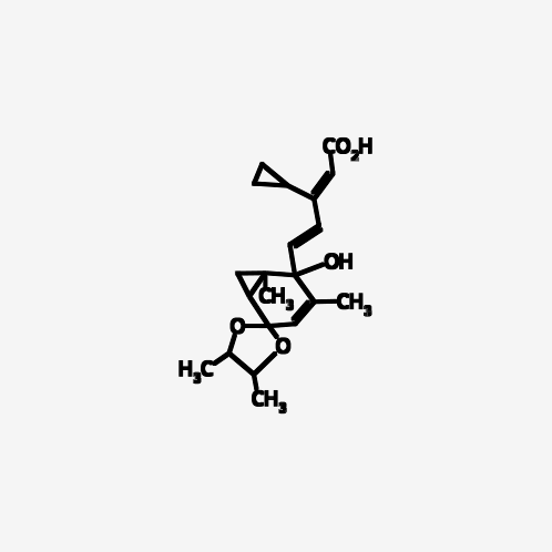 CC1=CC2(OC(C)C(C)O2)C2CC2(C)C1(O)C=CC(=CC(=O)O)C1CC1